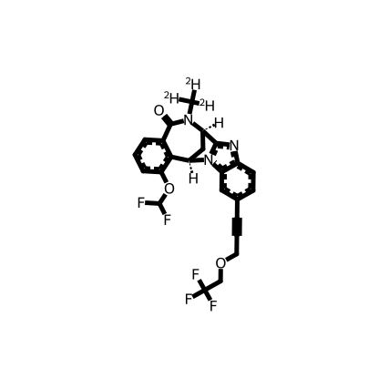 [2H]C([2H])([2H])N1C(=O)c2cccc(OC(F)F)c2[C@H]2C[C@@H]1c1nc3ccc(C#CCOCC(F)(F)F)cc3n12